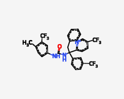 Cc1ccc(NC(=O)NC(Cc2ccccc2)(c2cccc(C(F)(F)F)c2)c2ccc(C(F)(F)F)cn2)cc1C(F)(F)F